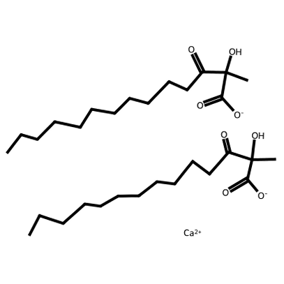 CCCCCCCCCCCC(=O)C(C)(O)C(=O)[O-].CCCCCCCCCCCC(=O)C(C)(O)C(=O)[O-].[Ca+2]